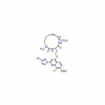 COc1ccc2c(OCCC3NC(=O)N(C)CCCC/C=C\C4CC4(C(=O)O)NC3=O)cc(-n3ccc(C(C)C)n3)nc2c1Cl